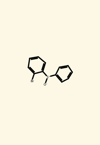 [O-][S+](c1ccccc1)c1ccccc1Br